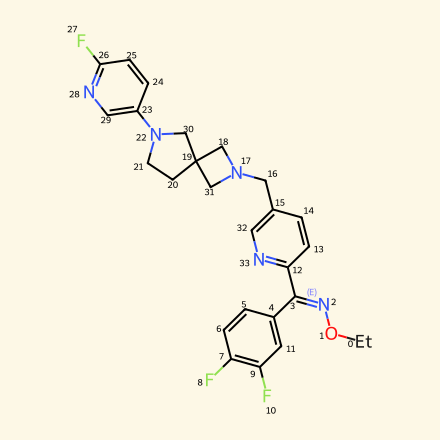 CCO/N=C(\c1ccc(F)c(F)c1)c1ccc(CN2CC3(CCN(c4ccc(F)nc4)C3)C2)cn1